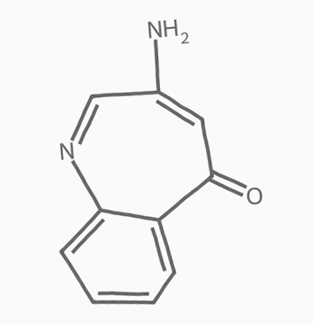 Nc1cnc2ccccc2c(=O)c1